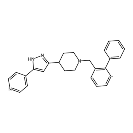 [c]1cccc(CN2CCC(c3cc(-c4ccncc4)[nH]n3)CC2)c1-c1ccccc1